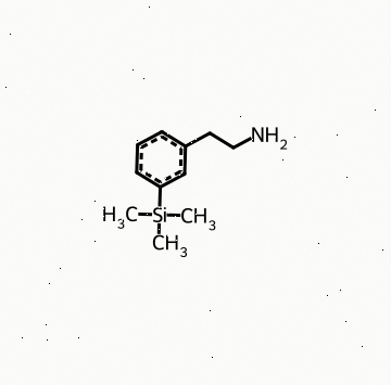 C[Si](C)(C)c1cccc(CCN)c1